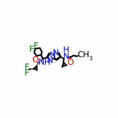 CCCC(=O)N[C@@H](c1cnn2cc([C@@H](NC(=O)[C@H]3C[C@H]3C(F)F)C3CCC(F)(F)CC3)nc2c1)C1CC1